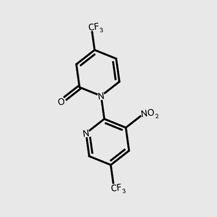 O=c1cc(C(F)(F)F)ccn1-c1ncc(C(F)(F)F)cc1[N+](=O)[O-]